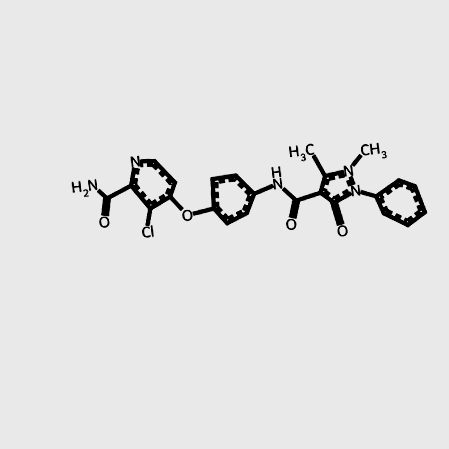 Cc1c(C(=O)Nc2ccc(Oc3ccnc(C(N)=O)c3Cl)cc2)c(=O)n(-c2ccccc2)n1C